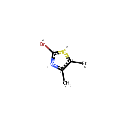 CCc1sc(Br)nc1C